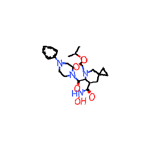 CC(C)OC(=O)N1CC2(CC2)CC(C(=O)NO)C1C(=O)N1CCN(c2ccccc2)CC1